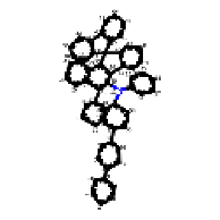 c1ccc(-c2ccc(-c3ccc(N(c4ccccc4)c4c5c(c6ccccc6c4-c4ccccc4)C4(c6ccccc6-c6ccccc64)c4ccccc4-5)cc3)cc2)cc1